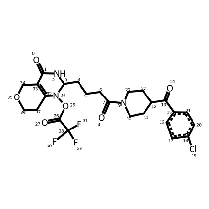 O=C1NC(CCCC(=O)N2CCC(C(=O)c3ccc(Cl)cc3)CC2)N(OC(=O)C(F)(F)F)C2=C1COCC2